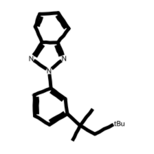 CC(C)(C)CC(C)(C)c1cc[c]c(-n2nc3ccccc3n2)c1